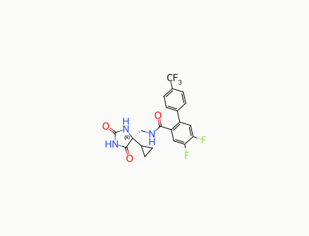 O=C1NC(=O)[C@](CNC(=O)c2cc(F)c(F)cc2-c2ccc(C(F)(F)F)cc2)(C2CC2)N1